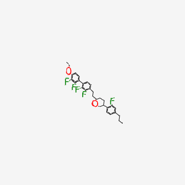 CCCc1ccc(C2CCC(CCc3ccc(-c4ccc(OCC)c(F)c4F)c(F)c3F)OC2)c(F)c1